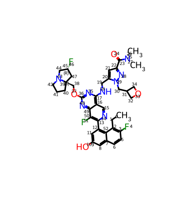 CCc1c(F)ccc2cc(O)cc(-c3ncc4c(NCc5cc(C(=O)N(C)C)nn5CC5COC5)nc(OC[C@@]56CCCN5C[C@H](F)C6)nc4c3F)c12